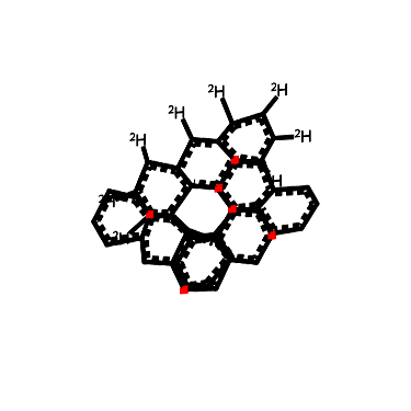 [2H]c1c([2H])c([2H])c2c(-c3cccc4ccc5cc6ccccc6cc5c34)c3c(-c4ccccc4-c4cccc5ccccc45)c([2H])c([2H])c([2H])c3c([2H])c2c1[2H]